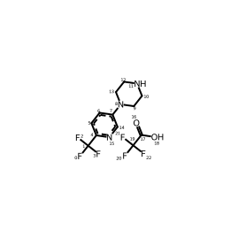 FC(F)(F)c1ccc(N2CCNCC2)cn1.O=C(O)C(F)(F)F